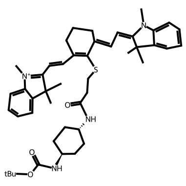 CN1/C(=C/C=C2\CCCC(/C=C/C3=[N+](C)c4ccccc4C3(C)C)=C2SCCC(=O)N[C@H]2CC[C@H](NC(=O)OC(C)(C)C)CC2)C(C)(C)c2ccccc21